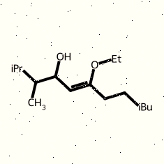 CCO/C(=C\C(O)C(C)C(C)C)CCC(C)CC